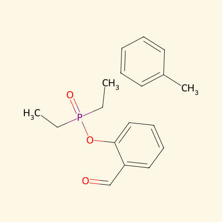 CCP(=O)(CC)Oc1ccccc1C=O.Cc1ccccc1